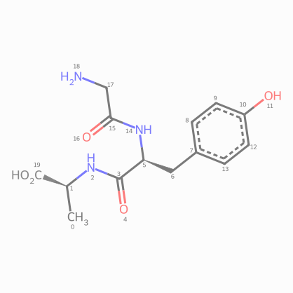 C[C@H](NC(=O)[C@H](Cc1ccc(O)cc1)NC(=O)CN)C(=O)O